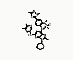 Cc1nc(-c2ccc(Nc3cc(Nc4cnc(C)c(C)n4)nc4c3nc(C)n4C3CCCCO3)c(N(C)S(C)(=O)=O)c2)n(C)n1